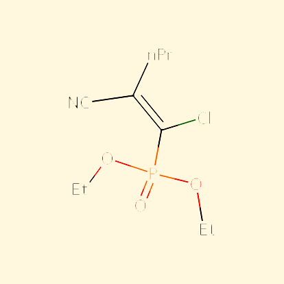 CCCC(C#N)=C(Cl)P(=O)(OCC)OCC